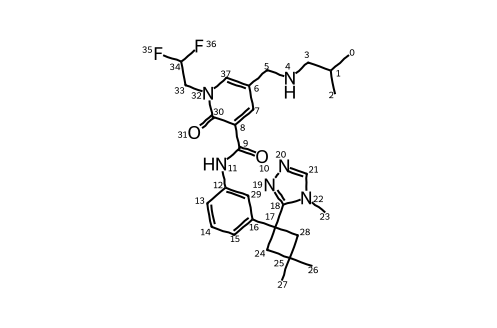 CC(C)CNCc1cc(C(=O)Nc2cccc(C3(c4nncn4C)CC(C)(C)C3)c2)c(=O)n(CC(F)F)c1